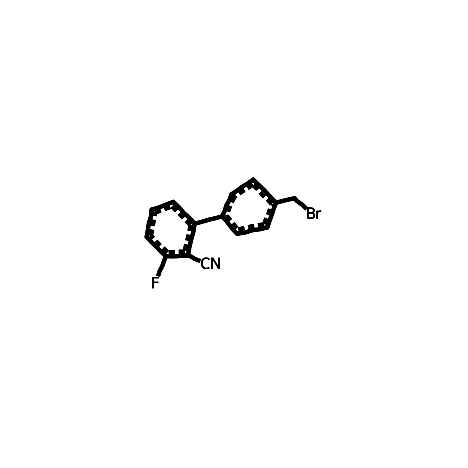 N#Cc1c(F)cccc1-c1ccc(CBr)cc1